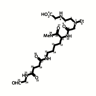 CCN(CCNCC(=O)O)CC(=O)NC(CCCCNC(=O)CCC(=O)NCC=O)C(=O)NC